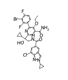 CCOc1c(C(N)=O)cc([C@@](O)(CNC(=O)c2cc(Cl)c3nn(C4CC4)cc3c2)C2CC2)nc1-c1ccc(F)c(Br)c1F